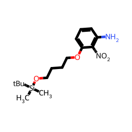 CC(C)(C)[Si](C)(C)OCCCCOc1cccc(N)c1[N+](=O)[O-]